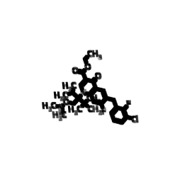 CCOC(=O)c1cn(C(CO[SiH](C)C)(C(C)C)C(C)(C)C)c2cc(F)c(Cc3cccc(Cl)c3F)cc2c1=O